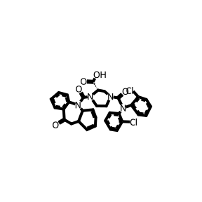 O=C1CC2C=CC=CC2N(C(=O)N2CCN(C(=O)N(c3ccccc3Cl)c3ccccc3Cl)C[C@H]2C(=O)O)c2ccccc21